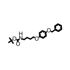 CC(C)(C)OC(=O)NCCCCOc1ccc(OCc2ccccc2)cc1